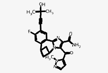 Cn1nccc1C(=O)c1c(C(N)=O)nc2n1C1CC(C1)c1cc(F)c(C#CC(C)(C)O)cc1-2